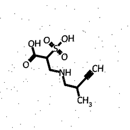 C#CC(C)CNCC(C(=O)O)S(=O)(=O)O